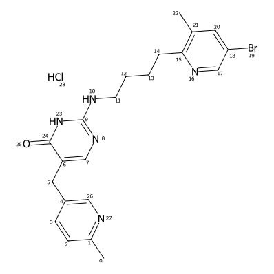 Cc1ccc(Cc2cnc(NCCCCc3ncc(Br)cc3C)[nH]c2=O)cn1.Cl